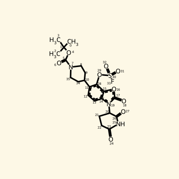 CC(C)(C)OC(=O)N1CCC(c2ccc3c(oc(=O)n3C3CCC(=O)NC3=O)c2OS(=O)(=O)F)CC1